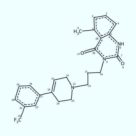 Cc1cccc2[nH]c(=O)n(CCCN3CC=C(c4cccc(C(F)(F)F)c4)CC3)c(=O)c12